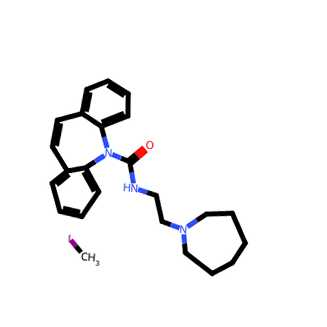 CI.O=C(NCCN1CCCCCC1)N1c2ccccc2C=Cc2ccccc21